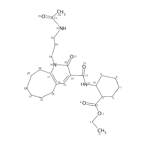 CCOC(=O)C1CCCCC1NC(=O)c1cc2c(n(CCCNC(C)=O)c1=O)CCCCCC2